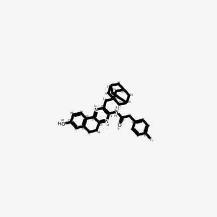 O=C(Cc1ccc(I)cc1)Nc1nc2c(nc1CC13CC4CC(CC(C4)C1)C3)-c1ccc(O)cc1CC2